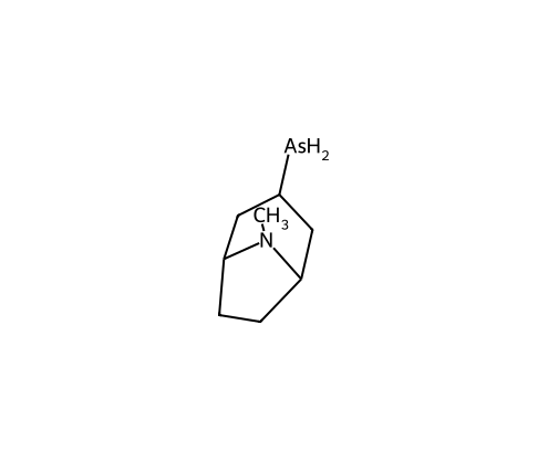 CN1C2CCC1CC([AsH2])C2